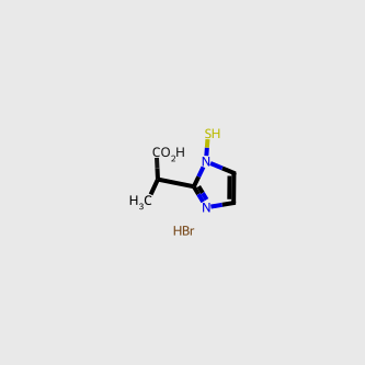 Br.CC(C(=O)O)c1nccn1S